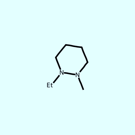 CCN1CCCCN1C